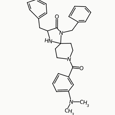 CN(C)c1cccc(C(=O)N2CCC3(CC2)NC(Cc2ccccc2)C(=O)N3Cc2ccccc2)c1